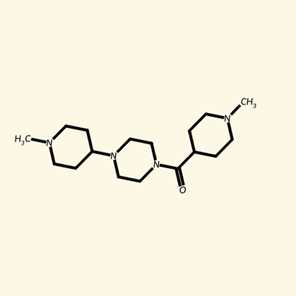 CN1CCC(C(=O)N2CCN(C3CCN(C)CC3)CC2)CC1